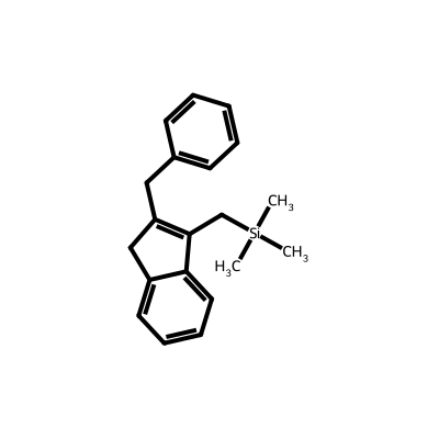 C[Si](C)(C)CC1=C(Cc2ccccc2)Cc2ccccc21